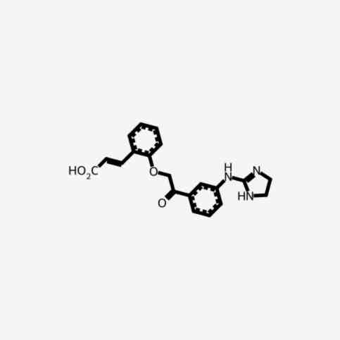 O=C(O)C=Cc1ccccc1OCC(=O)c1cccc(NC2=NCCN2)c1